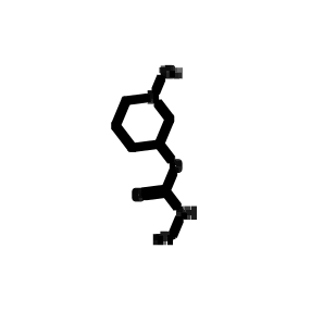 CCCNC(=O)OC1CCCN(C(C)(C)C)C1